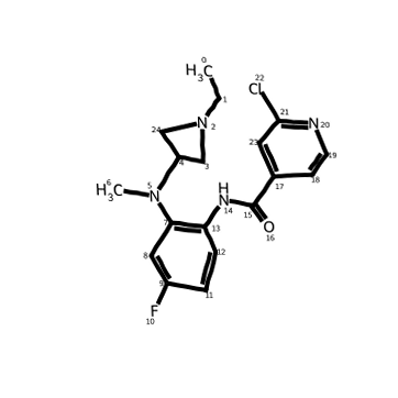 CCN1CC(N(C)c2cc(F)ccc2NC(=O)c2ccnc(Cl)c2)C1